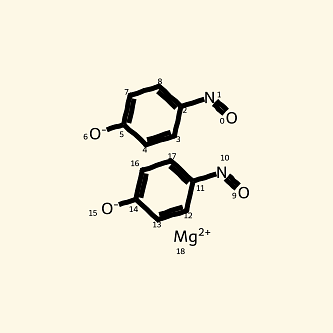 O=Nc1ccc([O-])cc1.O=Nc1ccc([O-])cc1.[Mg+2]